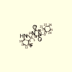 CN1C(=O)[C@H](Cc2c[nH]c3cccc(F)c23)N(C)C(=O)[C@@H]1Cc1ccccc1